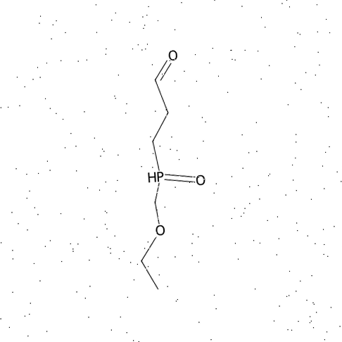 CCOC[PH](=O)CCC=O